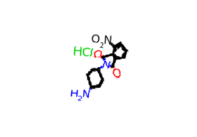 Cl.NC1CCC(N2C(=O)c3cccc([N+](=O)[O-])c3C2=O)CC1